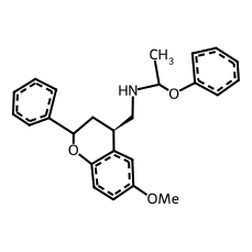 COc1ccc2c(c1)[C@H](CNC(C)Oc1ccccc1)CC(c1ccccc1)O2